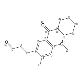 COc1cc(C)c(CCC=O)cc1C(=O)N1CCCCC1